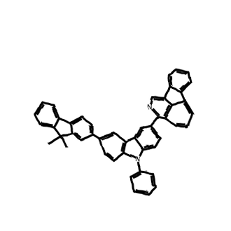 CC1(C)c2ccccc2-c2ccc(-c3ccc4c(c3)c3cc(-c5ncc6c7c(cccc57)-c5ccccc5-6)ccc3n4-c3ccccc3)cc21